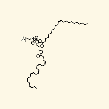 CC/C=C\C/C=C\C/C=C\C/C=C\C/C=C\C/C=C\CCC(=O)OC[C@H](COP(=O)([O-])OCC[N+](C)(C)C)OC(=O)CCCCCCCCC/C=C\CCCCCCCCCC